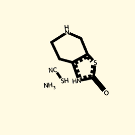 N.N#CS.O=c1[nH]c2c(s1)CNCC2